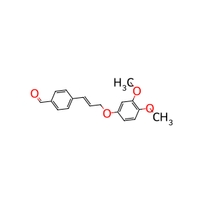 COc1ccc(OCC=Cc2ccc(C=O)cc2)cc1OC